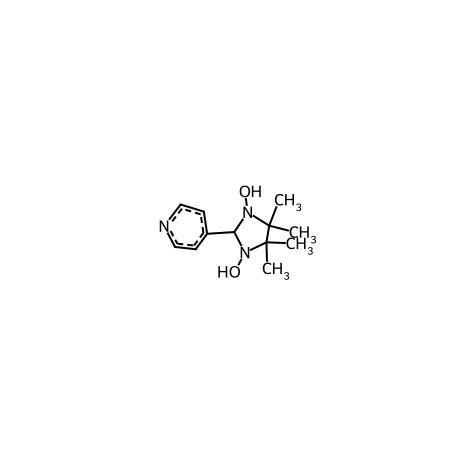 CC1(C)N(O)C(c2ccncc2)N(O)C1(C)C